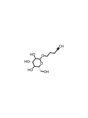 C#CCCCO[C@H]1O[C@H](CO)[C@@H](O)[C@H](O)[C@H]1O